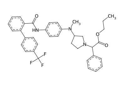 CCCOC(=O)C(c1ccccc1)N1CCC(N(C)c2ccc(NC(=O)c3ccccc3-c3ccc(C(F)(F)F)cc3)cc2)C1